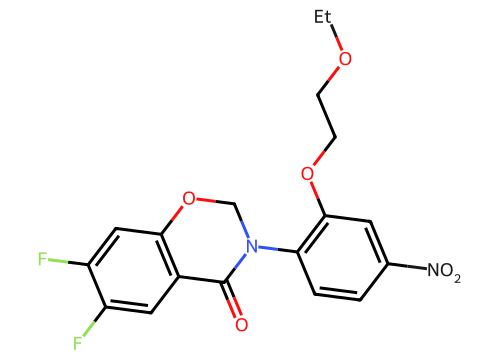 CCOCCOc1cc([N+](=O)[O-])ccc1N1COc2cc(F)c(F)cc2C1=O